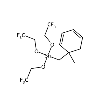 CC1([CH2][Sn]([O]CC(F)(F)F)([O]CC(F)(F)F)[O]CC(F)(F)F)C=CC=CC1